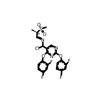 C[C@H](C=NC(Cl)c1cnc(Oc2ccc(F)cc2F)nc1Oc1ccc(F)cc1F)S(C)(=O)=O